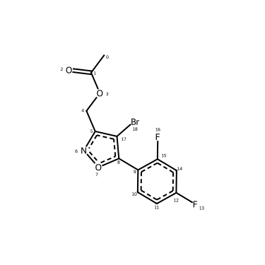 CC(=O)OCc1noc(-c2ccc(F)cc2F)c1Br